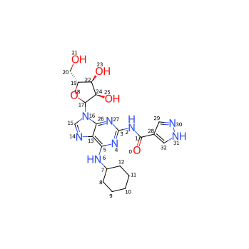 O=C(Nc1nc(NC2CCCCC2)c2ncn(C3O[C@H](CO)[C@@H](O)[C@H]3O)c2n1)c1cn[nH]c1